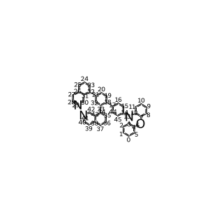 c1ccc2c(c1)Oc1ccccc1N2c1ccc(-c2ccc(-c3cccc4ccncc34)cc2-c2cccc3ccncc23)cc1